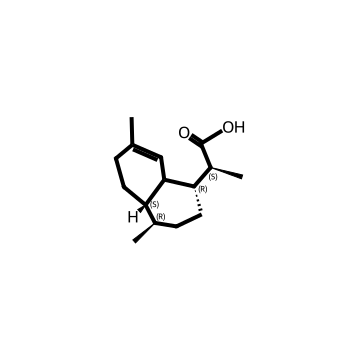 CC1=CC2[C@@H](CC1)[C@H](C)CC[C@H]2[C@H](C)C(=O)O